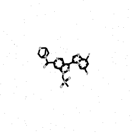 CS(=O)(=O)Cn1nc(-c2cnc3c(F)cc(F)cn23)c2cnc(C(=O)N3CC4CC3CO4)cc21